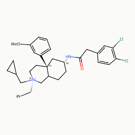 COc1cccc([C@]23CC[N@+](CC(C)C)(CC4CC4)CC2CC[C@@H](NC(=O)Cc2ccc(Cl)c(Cl)c2)C3)c1